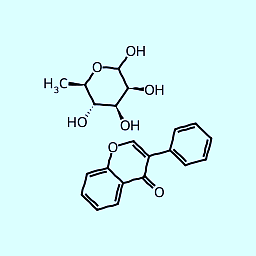 C[C@H]1OC(O)[C@@H](O)[C@@H](O)[C@@H]1O.O=c1c(-c2ccccc2)coc2ccccc12